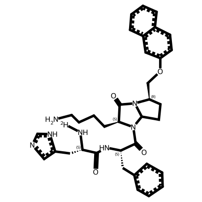 [2H]N[C@@H](Cc1cnc[nH]1)C(=O)N[C@@H](Cc1ccccc1)C(=O)N1C2CC[C@H](COc3ccc4ccccc4c3)N2C(=O)[C@@H]1CCCCN